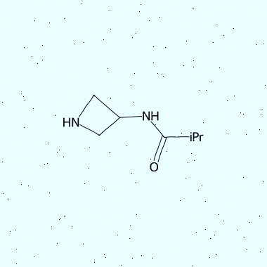 CC(C)C(=O)NC1CNC1